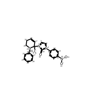 CC1(n2ccn(-c3ccc([N+](=O)[O-])cc3)c2=O)C=CCCN1c1ccccc1